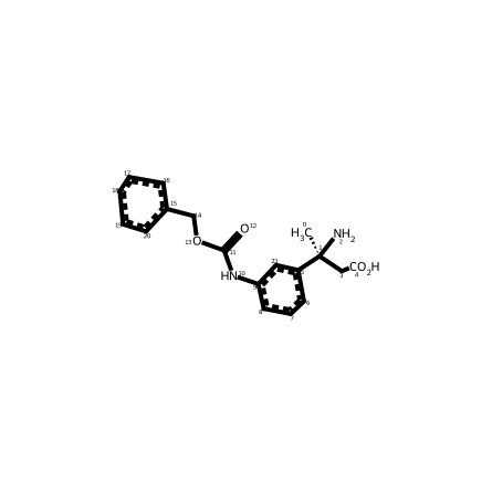 C[C@](N)(CC(=O)O)c1cccc(NC(=O)OCc2ccccc2)c1